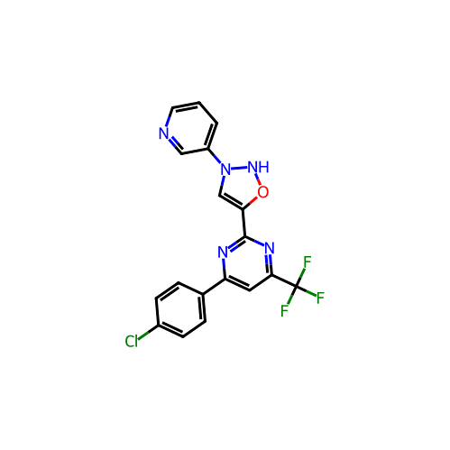 FC(F)(F)c1cc(-c2ccc(Cl)cc2)nc(C2=CN(c3cccnc3)NO2)n1